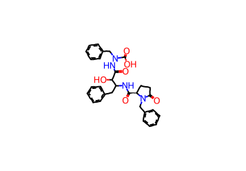 O=C(NN(Cc1ccccc1)C(=O)O)C(O)C(Cc1ccccc1)NC(=O)[C@H]1CCC(=O)N1Cc1ccccc1